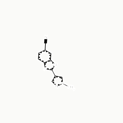 Cn1cc(-c2nc3cc(C#N)ccc3o2)cn1